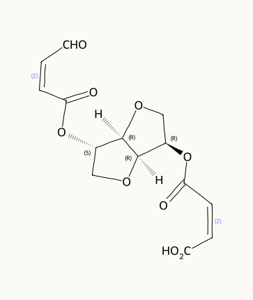 O=C/C=C\C(=O)O[C@H]1CO[C@H]2[C@@H]1OC[C@H]2OC(=O)/C=C\C(=O)O